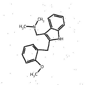 COc1ccccc1Cc1[nH]c2ccccc2c1CN(C)C